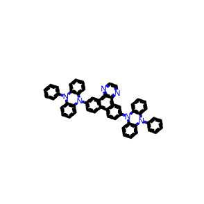 c1ccc(N2c3ccccc3N(c3ccc4c5ccc(N6c7ccccc7N(c7ccccc7)c7ccccc76)cc5c5nccnc5c4c3)c3ccccc32)cc1